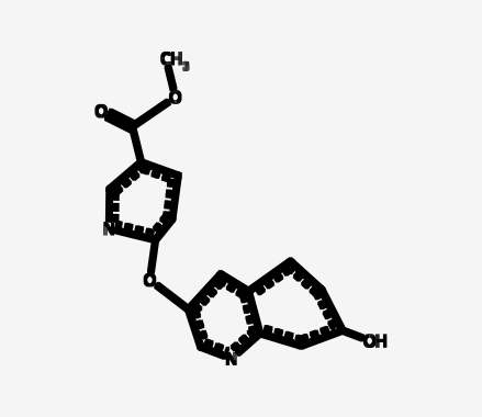 COC(=O)c1ccc(Oc2cnc3cc(O)ccc3c2)nc1